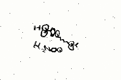 C=C(C)C(=O)OCCCCCCCOc1ccc(C(=O)O)cc1.COc1ccc(N)cc1